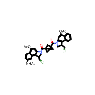 CC(=O)Nc1ccc2c(OC(C)=O)cc3c(c2c1)C(CCl)CN3C(=O)C12CC3(C(=O)N4CC(CCl)c5c4cc(OC(C)=O)c4ccccc54)CC31C2